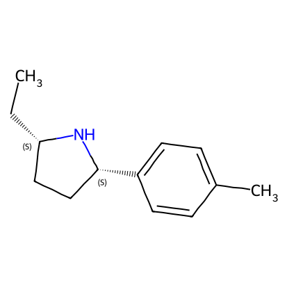 CC[C@H]1CC[C@@H](c2ccc(C)cc2)N1